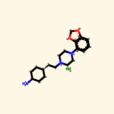 Cl.N[C@H]1CC[C@H](CCN2CCN(c3cccc4c3OCO4)CC2)CC1